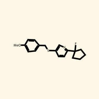 COc1ccc(CSc2ccc(C3(F)CCCC3)nc2)cc1